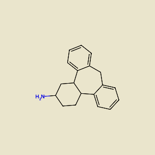 NC1CCC2c3ccccc3Cc3ccccc3C2C1